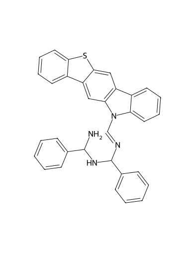 NC(NC(/N=C/n1c2ccccc2c2cc3sc4ccccc4c3cc21)c1ccccc1)c1ccccc1